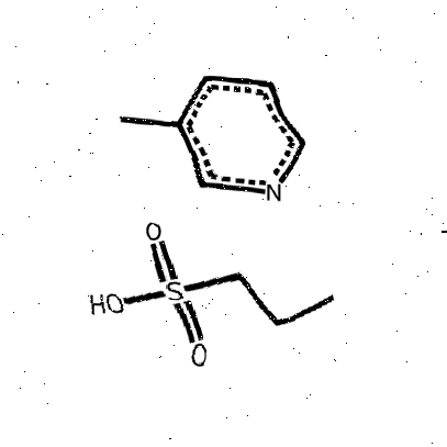 CCCS(=O)(=O)O.Cc1cccnc1